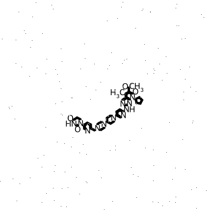 CC(=O)c1c(C)c2cnc(Nc3ccc(N4CCC(N5CCN(Cc6ccc(N7CCC(=O)NC7=O)cn6)CC5)CC4)cn3)nc2n(C2CCCC2)c1=O